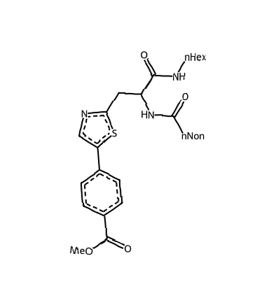 CCCCCCCCCC(=O)NC(Cc1ncc(-c2ccc(C(=O)OC)cc2)s1)C(=O)NCCCCCC